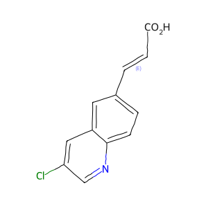 O=C(O)/C=C/c1ccc2ncc(Cl)cc2c1